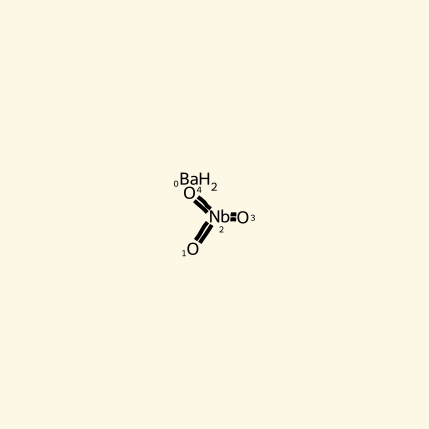 [BaH2].[O]=[Nb](=[O])=[O]